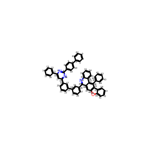 c1ccc(-c2ccc(-c3nc(-c4ccccc4)cc(-c4cccc(-c5cccc(-c6nc7ccccc7c7c(-c8ccccc8)c8c(cc67)oc6ccccc68)c5)c4)n3)cc2)cc1